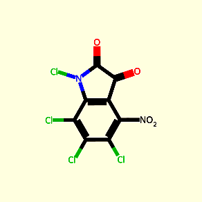 O=C1C(=O)N(Cl)c2c(Cl)c(Cl)c(Cl)c([N+](=O)[O-])c21